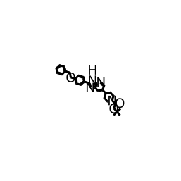 CC(C)(C)OC(=O)N1CCC(c2cnc3[nH]c(-c4ccc(OCc5ccccc5)cc4)nc3c2)CC1